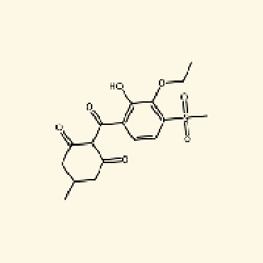 CCOc1c(S(C)(=O)=O)ccc(C(=O)C2C(=O)CC(C)CC2=O)c1O